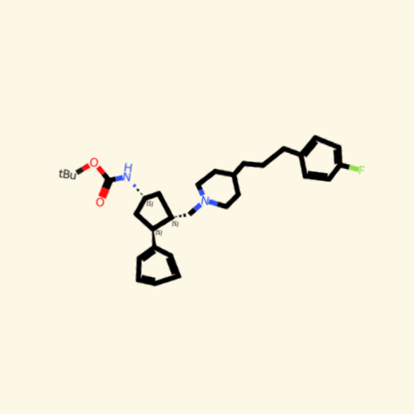 CC(C)(C)OC(=O)N[C@@H]1C[C@H](CN2CCC(CCCc3ccc(F)cc3)CC2)[C@@H](c2ccccc2)C1